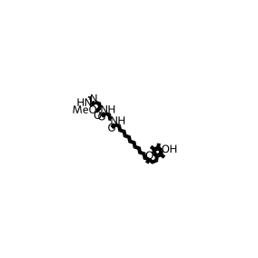 COC(=O)C(Cc1c[nH]cn1)NC(=O)CCNC(=O)CCCCCCCCCCCCC1(C)CCc2c(C)c(O)c(C)c(C)c2O1